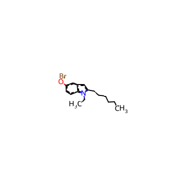 CCCCCCc1cc2cc(OBr)ccc2n1CC